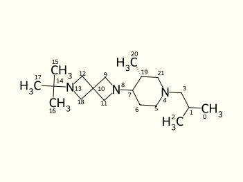 CC(C)CN1CCC(N2CC3(C2)CN(C(C)(C)C)C3)[C@H](C)C1